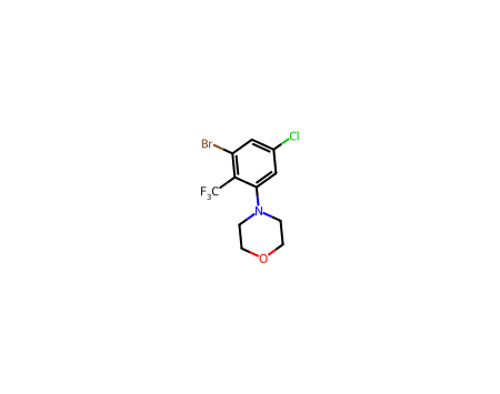 FC(F)(F)c1c(Br)cc(Cl)cc1N1CCOCC1